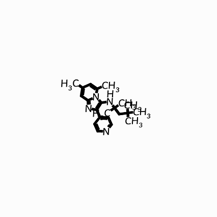 Cc1cc(C)n2c(NC(C)(C)CC(C)(C)C)c(-c3ccncc3)nc2c1